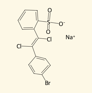 O=S(=O)([O-])c1ccccc1C(Cl)=C(Cl)c1ccc(Br)cc1.[Na+]